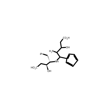 CC(C)C[C@H](NC(c1ccccc1)C(N)C(O)CC(=O)O)[C@@H](O)CC(=O)O